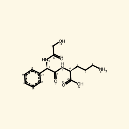 NCCC[C@H](NC(=O)[C@H](NC(=O)CO)c1ccccc1)C(=O)O